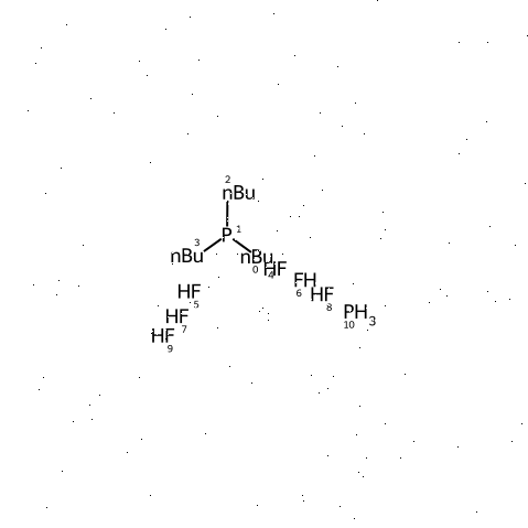 CCCCP(CCCC)CCCC.F.F.F.F.F.F.P